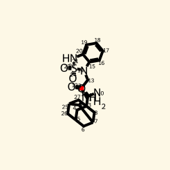 NC(=O)C12CC3CC(C1)C(NC(=O)CN1c4ccccc4NS1(=O)=O)C(C3)C2